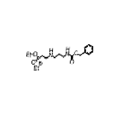 CCOP(=O)(CCNCCCNC(=O)OCc1ccccc1)OCC